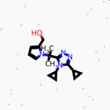 CC(C)(c1nnc(C2CC2)n1C1CC1)n1cccc1CO